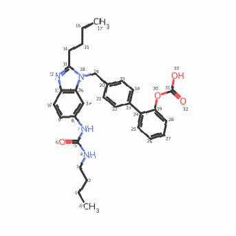 CCCCNC(=O)Nc1ccc2nc(CCCC)n(Cc3ccc(-c4ccccc4OC(=O)O)cc3)c2c1